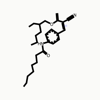 C=C(OCC(CC)CCCC)/C(C#N)=C\c1ccc(NC(=O)CCCCCCC)cc1